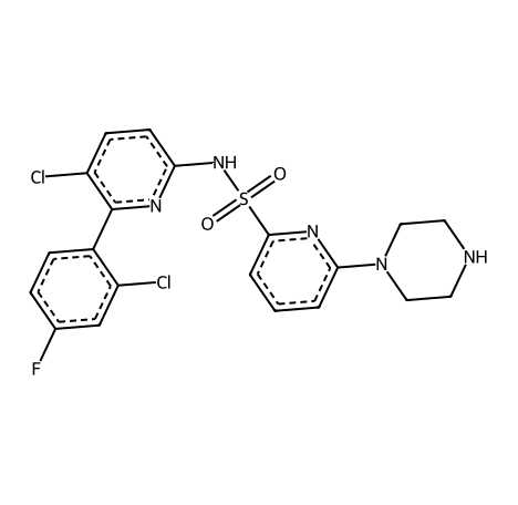 O=S(=O)(Nc1ccc(Cl)c(-c2ccc(F)cc2Cl)n1)c1cccc(N2CCNCC2)n1